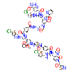 COc1c(-c2cc(NCc3ccc(Cl)s3)n(C(=O)c3ccc(C(N)=O)cc3)n2)ccn(Cc2ccsc2)c1=O.NC(=O)c1ccc(C(=O)n2nc(-c3cc(N4CCOCC4)cc(=O)n3CC(=O)c3ccccn3)cc2NCc2ccc(Cl)s2)cc1.NC(=O)c1ccc(C(=O)n2nc(-c3ccn(CC(=O)c4cncs4)c(=O)c3N3CCOCC3)cc2NCc2ccc(Cl)s2)cc1